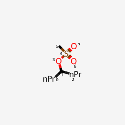 CCCC(CCC)OS(C)(=O)=O